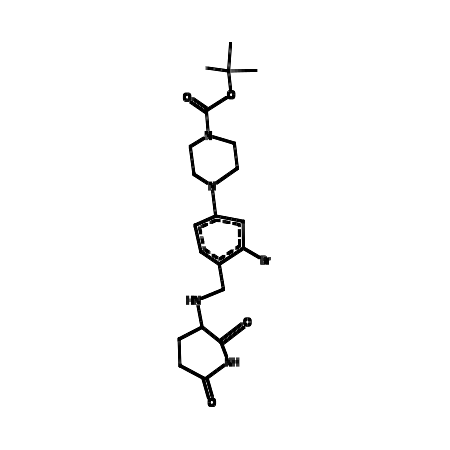 CC(C)(C)OC(=O)N1CCN(c2ccc(CNC3CCC(=O)NC3=O)c(Br)c2)CC1